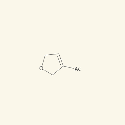 CC(=O)C1=CCOC1